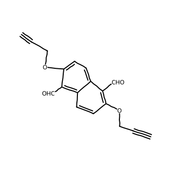 C#CCOc1ccc2c(C=O)c(OCC#C)ccc2c1C=O